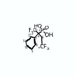 O=P(O)(O)C(CC(F)(F)F)(c1ccccc1)C(F)(F)F